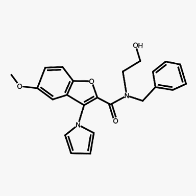 COc1ccc2oc(C(=O)N(CCO)Cc3ccccc3)c(-n3cccc3)c2c1